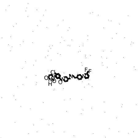 CN(CCC1CCC(N2C=CC=C(C(F)F)C2)CC1)CC1CCN(C(=O)c2ccc(Cl)c(N3CCC(=O)NC3=O)c2)CC1